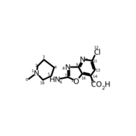 CN1CCCC(Nc2nc3nc(Cl)cc(C(=O)O)c3o2)C1